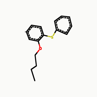 CCCCOc1c[c]ccc1Sc1ccccc1